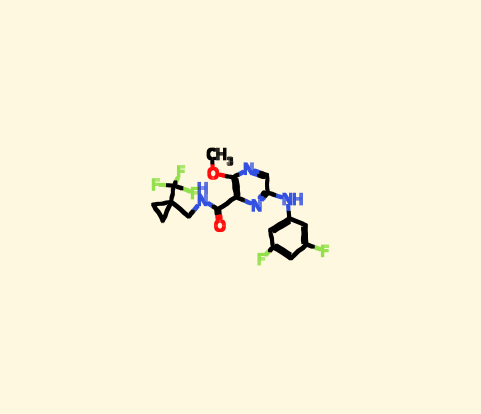 COc1ncc(Nc2cc(F)cc(F)c2)nc1C(=O)NCC1(C(F)(F)F)CC1